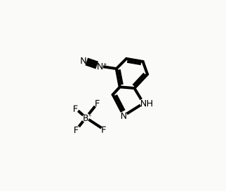 F[B-](F)(F)F.N#[N+]c1cccc2[nH]ncc12